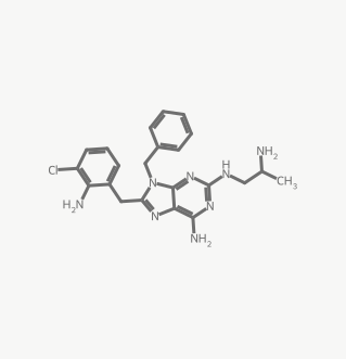 CC(N)CNc1nc(N)c2nc(Cc3cccc(Cl)c3N)n(Cc3ccccc3)c2n1